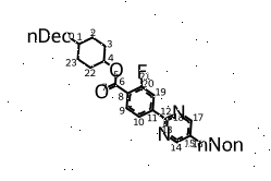 CCCCCCCCCCC1CCC(OC(=O)c2ccc(-c3ncc(CCCCCCCCC)cn3)cc2F)CC1